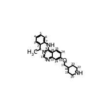 CCc1ccccc1Nc1ncnc2cc(OCC3CCNCC3)ccc12